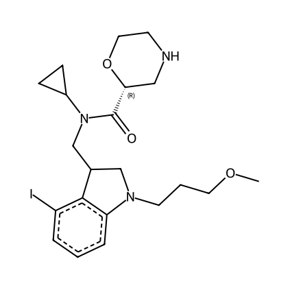 COCCCN1CC(CN(C(=O)[C@H]2CNCCO2)C2CC2)c2c(I)cccc21